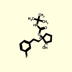 CC(C)(C)NC(=O)O[C@]1(CCc2cccc(F)c2)CCC[C@@H]1O